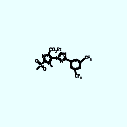 CCOC(=O)c1nc(S(C)(=O)=O)n(C)c1-n1cnc(-c2cc(C(F)(F)F)cc(C(F)(F)F)c2)n1